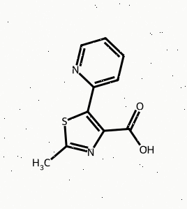 Cc1nc(C(=O)O)c(-c2ccccn2)s1